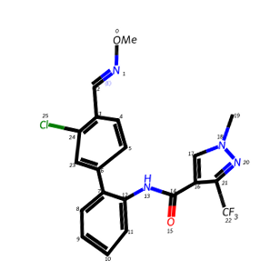 CO/N=C/c1ccc(-c2ccccc2NC(=O)c2cn(C)nc2C(F)(F)F)cc1Cl